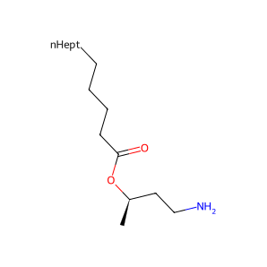 CCCCCCCCCCCC(=O)O[C@H](C)CCN